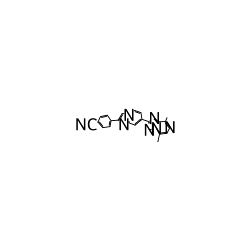 Cc1ncc(C)n2nc(-c3ccn4cc(-c5ccc(C#N)cc5)nc4c3)nc12